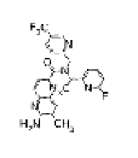 Cc1cc2cc(C(=O)N(Cc3ccc(C(F)(F)F)cn3)[C@H](C)c3cccc(F)n3)ccc2nc1N